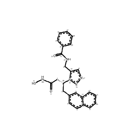 O=C(C[C@@H](Cc1ccc2ccccc2c1)n1nncc1CNC(=O)c1ccccc1)NO